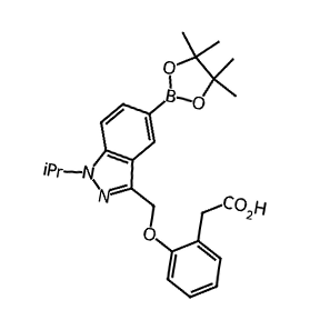 CC(C)n1nc(COc2ccccc2CC(=O)O)c2cc(B3OC(C)(C)C(C)(C)O3)ccc21